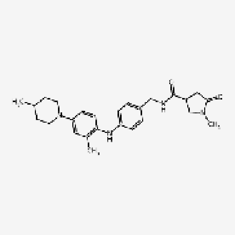 Cc1cc(N2CCC(C)CC2)ccc1Nc1ccc(CNC(=O)C2CC(=O)N(C)C2)cc1